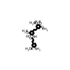 COc1cc(/C=C/C(=O)Nc2cc(C=Cc3cc(OC)c(OC)c(OC)c3)cc(OC)c2O)ccc1N